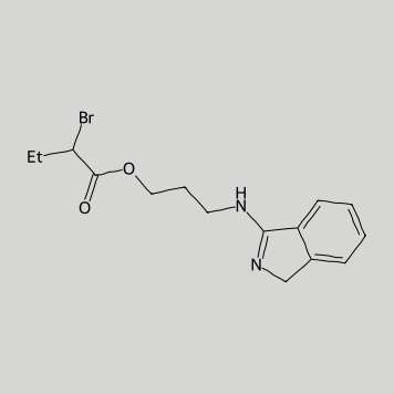 CCC(Br)C(=O)OCCCNC1=NCc2ccccc21